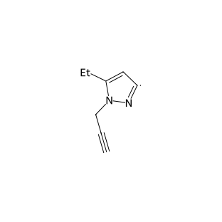 C#CCn1n[c]cc1CC